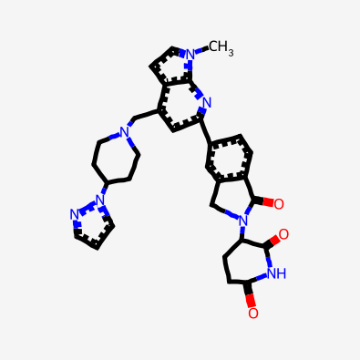 Cn1ccc2c(CN3CCC(n4cccn4)CC3)cc(-c3ccc4c(c3)CN(C3CCC(=O)NC3=O)C4=O)nc21